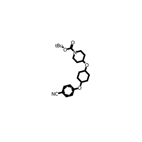 CC(C)(C)OC(=O)N1CCC(OC2CCC(Oc3ccc(C#N)cc3)CC2)CC1